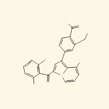 CCc1cc(-c2cc(C(=O)c3c(F)cccc3Cl)n3cccc(F)c23)ccc1C(=O)O